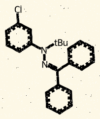 CC(C)(C)N(N=C(c1ccccc1)c1ccccc1)c1cccc(Cl)c1